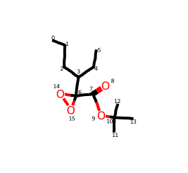 CCCC(CC)C1(C(=O)OC(C)(C)C)OO1